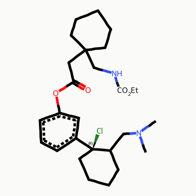 CCOC(=O)NCC1(CC(=O)Oc2cccc([C@@]3(Cl)CCCCC3CN(C)C)c2)CCCCC1